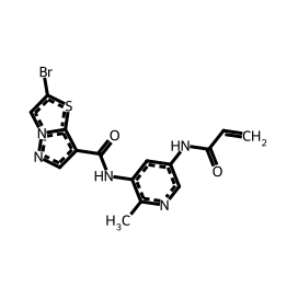 C=CC(=O)Nc1cnc(C)c(NC(=O)c2cnn3cc(Br)sc23)c1